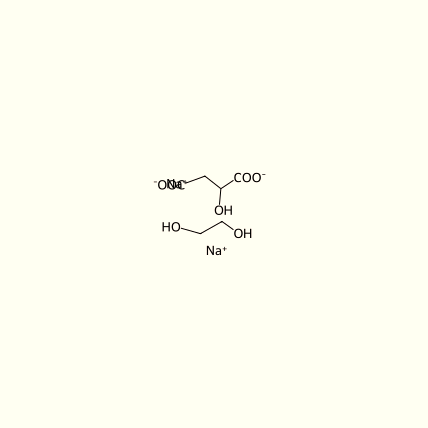 O=C([O-])CC(O)C(=O)[O-].OCCO.[Na+].[Na+]